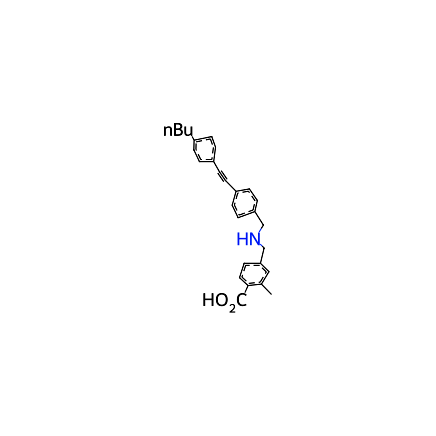 CCCCc1ccc(C#Cc2ccc(CNCc3ccc(C(=O)O)c(C)c3)cc2)cc1